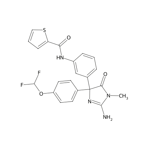 CN1C(=O)C(c2ccc(OC(F)F)cc2)(c2cccc(NC(=O)c3cccs3)c2)N=C1N